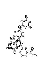 C=CC(=O)N1CCC[C@H](c2cn(-c3ccc(Oc4cc(F)cc(F)c4)cc3)c3c(N)n[nH]c(=O)c23)C1